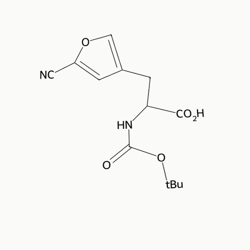 CC(C)(C)OC(=O)NC(Cc1coc(C#N)c1)C(=O)O